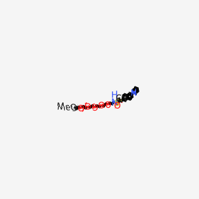 COCCOCCOCCOCCOCCOCCN[S+]([O-])/C(C#N)=C/c1ccc2cc(N3CCCCC3)ccc2c1